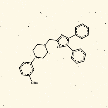 CC(C)COc1cccc(N2CCN(Cc3nc(-c4ccccc4)c(-c4ccccc4)[nH]3)CC2)c1